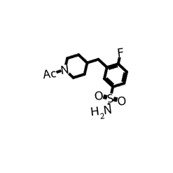 CC(=O)N1CCC(Cc2cc(S(N)(=O)=O)ccc2F)CC1